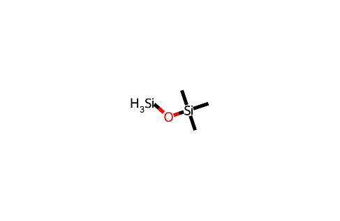 C[Si](C)(C)O[SiH3]